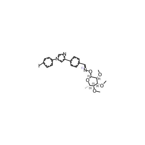 CO[C@@H]1[C@@H](OC)[C@H](C)O[C@@H](O/N=C/c2ccc(-c3cn(-c4ccc(I)cc4)cn3)cc2)[C@@H]1OC